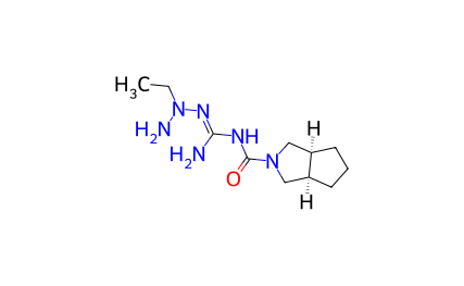 CCN(N)/N=C(\N)NC(=O)N1C[C@H]2CCC[C@H]2C1